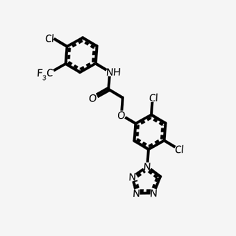 O=C(COc1cc(-n2cnnn2)c(Cl)cc1Cl)Nc1ccc(Cl)c(C(F)(F)F)c1